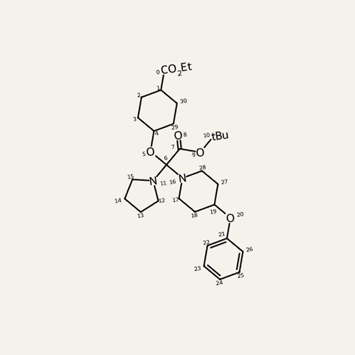 CCOC(=O)C1CCC(OC(C(=O)OC(C)(C)C)(N2CCCC2)N2CCC(Oc3ccccc3)CC2)CC1